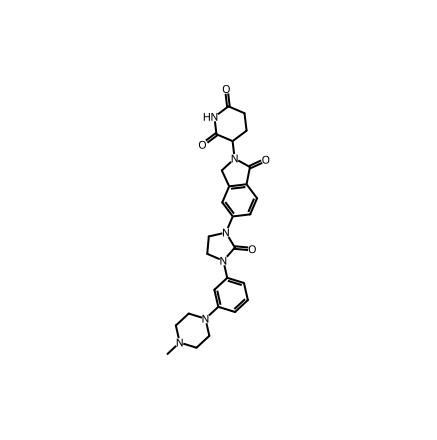 CN1CCN(c2cccc(N3CCN(c4ccc5c(c4)CN(C4CCC(=O)NC4=O)C5=O)C3=O)c2)CC1